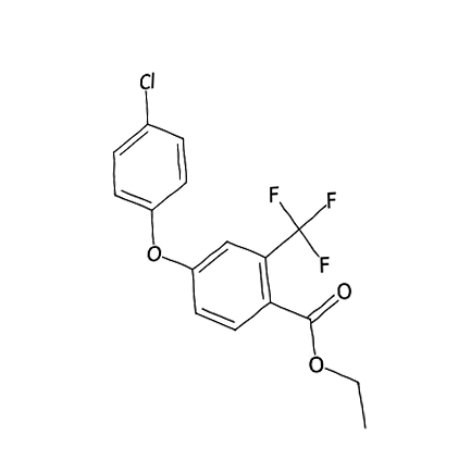 CCOC(=O)c1ccc(Oc2ccc(Cl)cc2)cc1C(F)(F)F